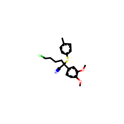 COc1ccc(C(C#N)(CCCCCl)Sc2ccc(C)cc2)cc1OC